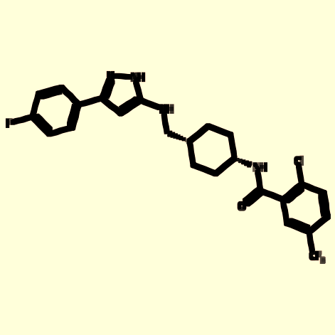 O=C(N[C@H]1CC[C@@H](CNc2cc(-c3ccc(F)cc3)n[nH]2)CC1)c1cc(C(F)(F)F)ccc1Cl